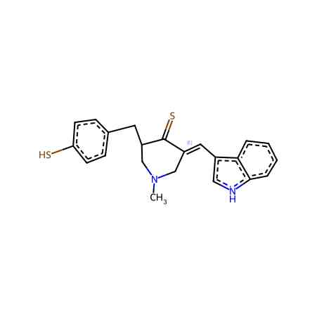 CN1C/C(=C\c2c[nH]c3ccccc23)C(=S)C(Cc2ccc(S)cc2)C1